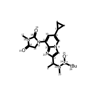 CC(c1cn2cc(C3CC3)cc(N3CC(=O)N(C)C3=O)c2n1)N(C)[S+]([O-])C(C)(C)C